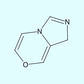 C1=CN2C=NCC2=CO1